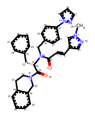 Cn1cc(/C=C/C(=O)N(Cc2ccc(-n3cccn3)cc2)[C@@H](Cc2ccccc2)C(=O)N2CCc3ccccc3C2)cn1